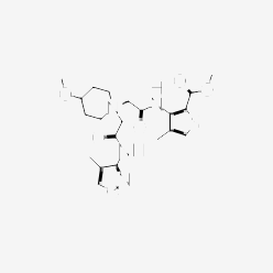 COC(=O)c1scc(C)c1NC(=O)C[N+]1(CC(=O)Nc2nocc2C)CCC(OC)CC1